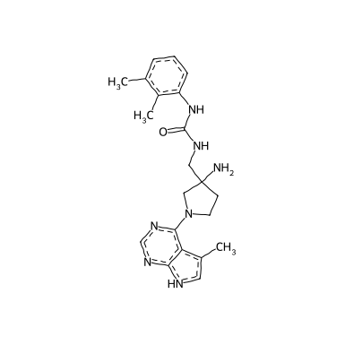 Cc1cccc(NC(=O)NCC2(N)CCN(c3ncnc4[nH]cc(C)c34)C2)c1C